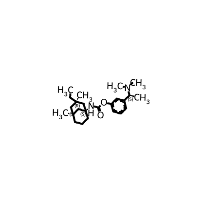 CC[C@]1(C)C[C@]2(C)CCC[C@@](NC(=O)Oc3cccc([C@H](C)N(C)C)c3)(C2)C1